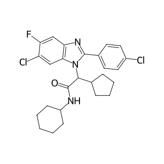 O=C(NC1CCCCC1)C(C1CCCC1)n1c(-c2ccc(Cl)cc2)nc2cc(F)c(Cl)cc21